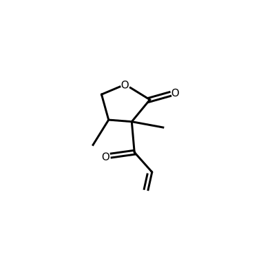 C=CC(=O)C1(C)C(=O)OCC1C